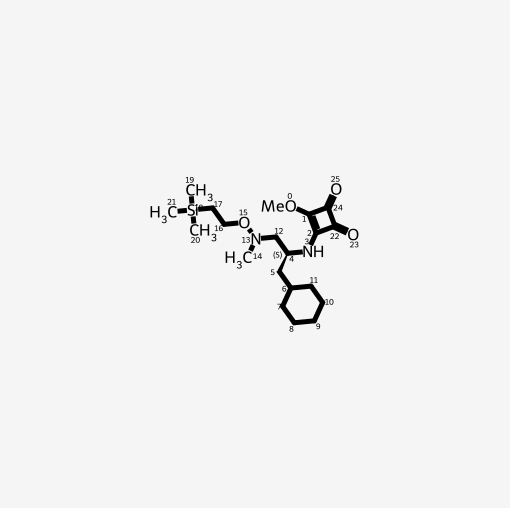 COc1c(N[C@@H](CC2CCCCC2)CN(C)OCC[Si](C)(C)C)c(=O)c1=O